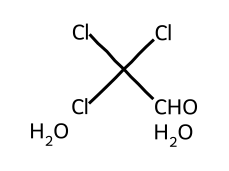 O.O.O=CC(Cl)(Cl)Cl